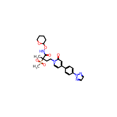 CC(CCn1ccc(-c2ccc(-n3nccn3)cc2)cc1=O)(C(=O)NOC1CCCCO1)S(C)(=O)=O